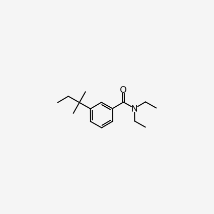 CCN(CC)C(=O)c1cccc(C(C)(C)CC)c1